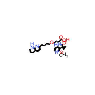 COc1ncccc1C1(C(=O)N[C@@H](CCOCCCCc2ccc3c(n2)NCCC3)C(=O)O)CC1